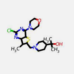 CC1C(CN2CCC(C(C)(C)O)CC2)SC2C(N3CCOCC3)=NC(Cl)=NC21